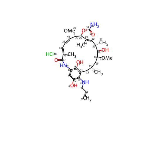 C=CCNc1c(O)cc2c(O)c1C[C@@H](C)C[C@H](OC)[C@H](O)[C@@H](C)/C=C(\C)[C@H](OC(N)=O)[C@@H](OC)/C=C\C=C(/C)C(=O)N2.Cl